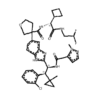 Cn1nccc1C(=O)N[C@H](c1nc2cc(C3(C(=O)N[C@@H](C(=O)NCC(F)F)C4CCC4)CCOC3)ccc2[nH]1)[C@H](c1ccccc1Cl)C1(C)CC1